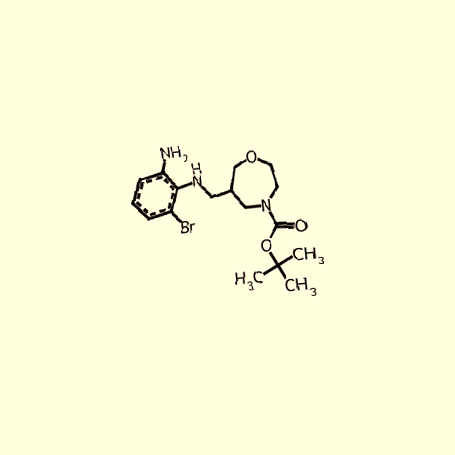 CC(C)(C)OC(=O)N1CCOCC(CNc2c(N)cccc2Br)C1